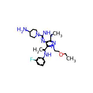 C=C(Nc1cccc(F)c1)c1c(/N=C(\N)N2CCC(N)CC2)c(CC)nn1CCOCC